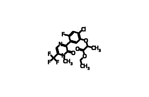 CCOC(=O)C(C)Oc1cc(-c2ncc(C(F)(F)F)n(C)c2=O)c(F)cc1Cl